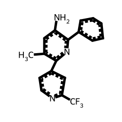 Cc1cc(N)c(-c2ccccc2)nc1-c1ccnc(C(F)(F)F)c1